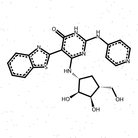 O=c1[nH]c(Nc2ccncc2)nc(N[C@@H]2C[C@H](CO)[C@@H](O)[C@H]2O)c1-c1nc2ccccc2s1